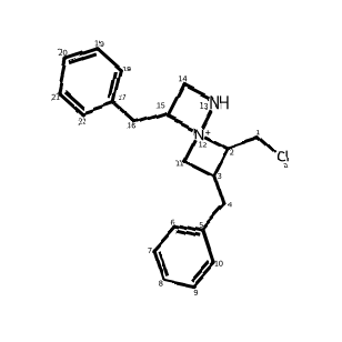 ClCC1C(Cc2ccccc2)C[N+]12NCC2Cc1ccccc1